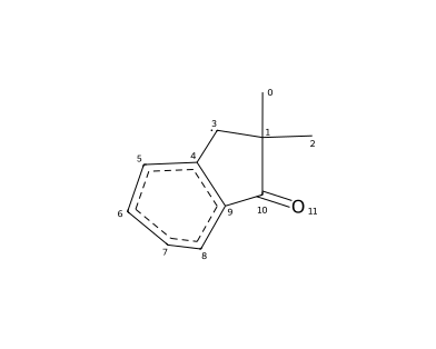 CC1(C)[CH]c2ccccc2C1=O